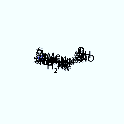 CS/C(=C\c1ccccc1)C(N=O)(C(=O)OC1CC2(C1)CN(CCCN(N)c1c(N)cc(CNCCc3ccc(N=O)c4[nH]c(=O)ccc34)c3c1CCC3)C2)c1cccs1